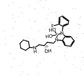 O[C@@H](CCN1c2ccccc2N(c2ccccc2F)S1(O)O)CNC1CCCCC1